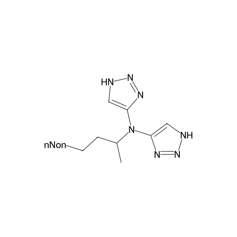 CCCCCCCCCCCC(C)N(c1c[nH]nn1)c1c[nH]nn1